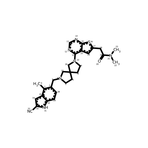 Cc1c(CN2CCC3(CCN(c4ncnc5sc(CC(=O)N(C)C)cc45)C3)C2)ccc2[nH]c(C#N)cc12